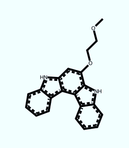 COCCOc1cc2[nH]c3ccccc3c2c2c1[nH]c1ccccc12